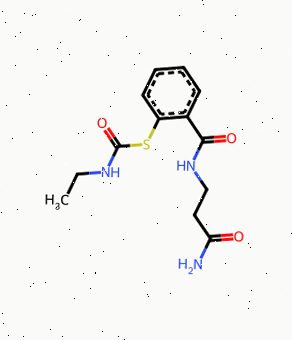 CCNC(=O)Sc1ccccc1C(=O)NCCC(N)=O